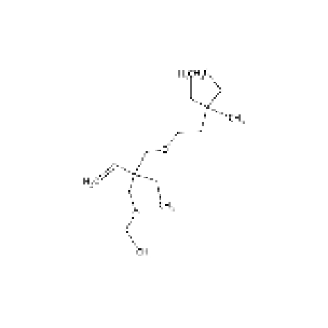 C=CC(CC)(COCC)COCCC(C)(CC)CC